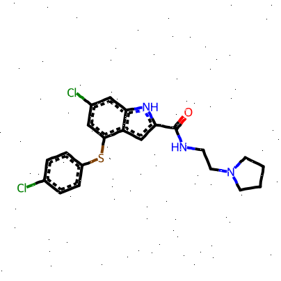 O=C(NCCN1CCCC1)c1cc2c(Sc3ccc(Cl)cc3)cc(Cl)cc2[nH]1